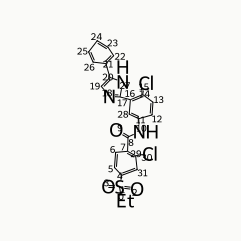 CCS(=O)(=O)c1ccc(C(=O)Nc2ccc(Cl)c(-c3ncc(-c4ccccc4)[nH]3)c2)c(Cl)c1